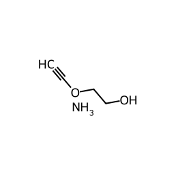 C#COCCO.N